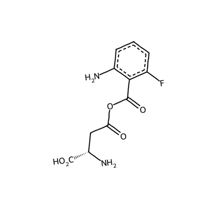 Nc1cccc(F)c1C(=O)OC(=O)C[C@H](N)C(=O)O